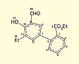 CCOC(=O)c1ccccc1-c1cc(C=O)c(O)c(CC)c1